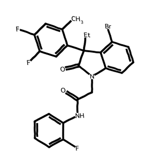 CCC1(c2cc(F)c(F)cc2C)C(=O)N(CC(=O)Nc2ccccc2F)c2cccc(Br)c21